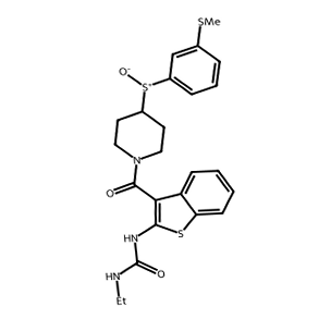 CCNC(=O)Nc1sc2ccccc2c1C(=O)N1CCC([S+]([O-])c2cccc(SC)c2)CC1